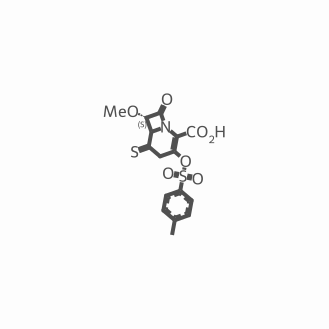 CO[C@@H]1C(=O)N2C(C(=O)O)=C(OS(=O)(=O)c3ccc(C)cc3)CC(=S)C12